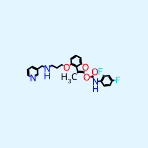 Cc1c(OC(=O)Nc2ccc(F)cc2F)oc2cccc(OCCCNCc3cccnc3)c12